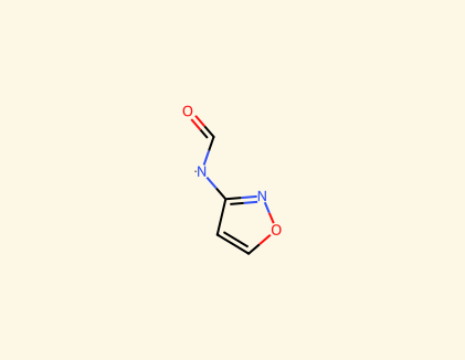 O=C[N]c1ccon1